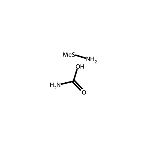 CSN.NC(=O)O